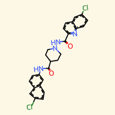 O=C(NN1CCC(C(=O)Nc2ccc3cc(Cl)ccc3c2)CC1)c1ccc2cc(Cl)ccc2n1